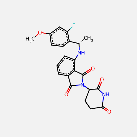 COc1ccc([C@H](C)Nc2cccc3c2C(=O)N(C2CCC(=O)NC2=O)C3=O)c(F)c1